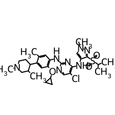 Cc1cc(Nc2ncc(Cl)c(Nc3cn(C)nc3S(=O)(=O)C(C)C)n2)c(OC2CC2)cc1C1CCN(C)CC1C